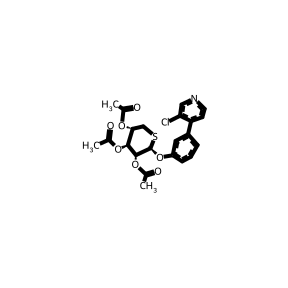 CC(=O)O[C@@H]1[C@@H](OC(C)=O)[C@H](OC(C)=O)CS[C@H]1Oc1cccc(-c2ccncc2Cl)c1